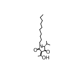 CCCCCCCCCCN1C(=O)C(=C(C)O)C(=O)[C@@H]1C(C)C